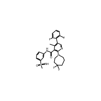 Cc1c(-c2c(F)cccc2F)cnc(N2CCCC(F)(F)CC2)c1C(=O)Nc1cccc(S(C)(=N)=O)c1